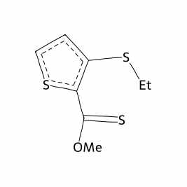 CCSc1ccsc1C(=S)OC